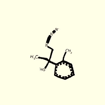 Cc1ccccc1C(C)(O)CN=[N+]=[N-]